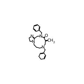 C=C1CN(CC2=CCCC=C2)CCCN2CCN=C2CN(Cc2ccccc2)C1=O